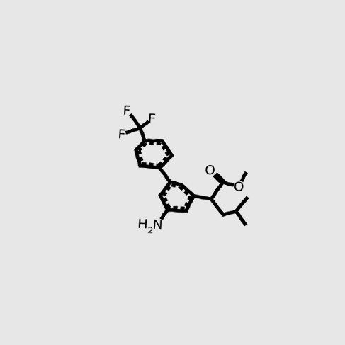 COC(=O)C(CC(C)C)c1cc(N)cc(-c2ccc(C(F)(F)F)cc2)c1